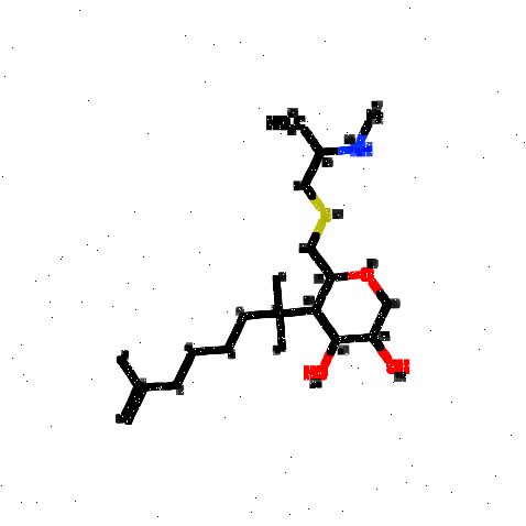 C=C(C)CCCCC(C)(C)C1C(CSCC(NCC)C(=O)O)OCC(O)C1O